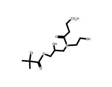 CCC(C)(C)C(=O)OCC(O)CN(CCS)C(=O)CCC(=O)O